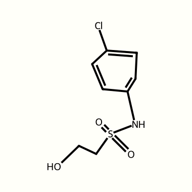 O=S(=O)(CCO)Nc1ccc(Cl)cc1